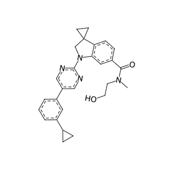 CN(CCO)C(=O)c1ccc2c(c1)N(c1ncc(-c3cccc(C4CC4)c3)cn1)CC21CC1